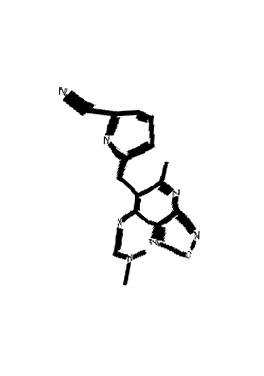 Cc1nc2nonc2c(/N=C\N(C)C)c1Cc1cccc(C#N)n1